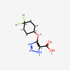 O=C(O)c1[nH]nnc1OC1CCC(F)(F)CC1